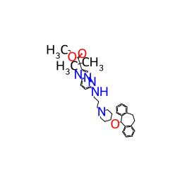 CCOC(=O)C(C)(C)c1cn2nc(NCCCN3CCC(OC4c5ccccc5CCc5ccccc54)CC3)ccc2n1